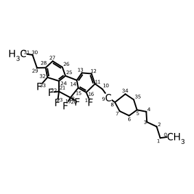 CCCCCC1CCC(CCc2ccc3c(c2F)C(F)(F)C(F)(F)c2c-3ccc(CCC)c2F)CC1